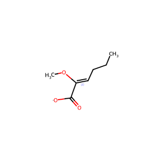 CCC/C=C(\OC)C([O])=O